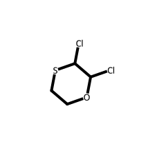 ClC1OCCSC1Cl